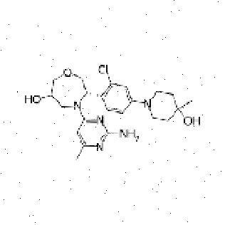 Cc1cc(N2CC(O)COC[C@@H]2c2ccc(N3CCC(C)(O)CC3)cc2Cl)nc(N)n1